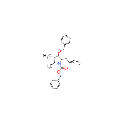 C=CC[C@@H]1[C@H](OCc2ccccc2)[C@@H](C)[C@H](C)N1C(=O)OCc1ccccc1